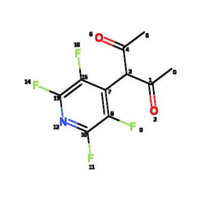 CC(=O)C(C(C)=O)c1c(F)c(F)nc(F)c1F